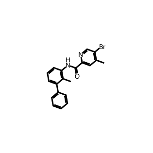 Cc1cc(C(=O)Nc2cccc(-c3ccccc3)c2C)ncc1Br